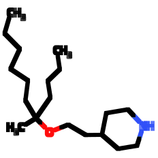 CCCCCCC(C)(CCCC)OCCC1CCNCC1